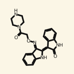 O=C1Nc2ccccc2/C1=C1/Nc2ccccc2/C1=N\OCC(=O)N1CCNCC1